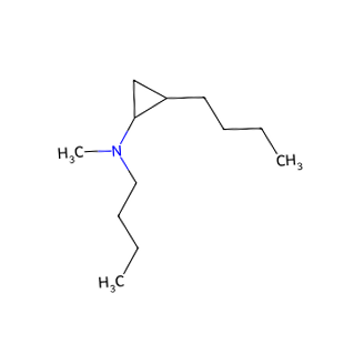 CCCCC1CC1N(C)CCCC